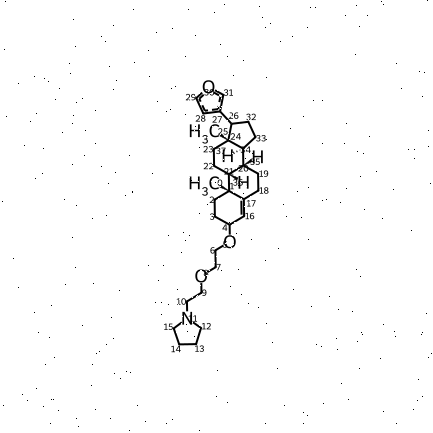 C[C@]12CCC(OCCOCCN3CCCC3)C=C1CC[C@@H]1[C@H]2CC[C@]2(C)C(c3ccoc3)CC[C@@H]12